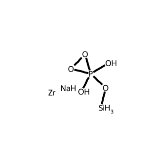 OP1(O)(O[SiH3])OO1.[NaH].[Zr]